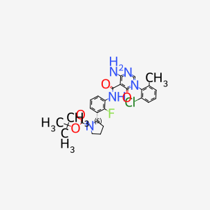 Cc1cccc(Cl)c1-n1cnc(N)c(C(=O)Nc2cccc([C@@H]3CCCN3C(=O)OC(C)(C)C)c2F)c1=O